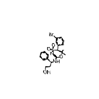 CC1(C)OC(N[C@@H](CCO)c2ccccc2)=NS(=O)(=O)C1c1cccc(Br)c1